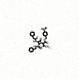 CC(C)=C(C(=O)OCc1ccc([N+](=O)[O-])cc1)N1C(=O)[C@@H](NC(=O)Cc2ccccc2)[C@H]1[S+]([O-])NCc1ccccc1